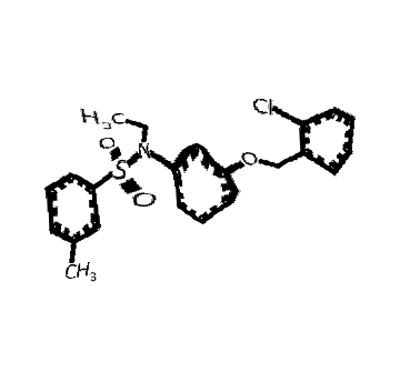 CCN(c1cccc(OCc2ccccc2Cl)c1)S(=O)(=O)c1cccc(C)c1